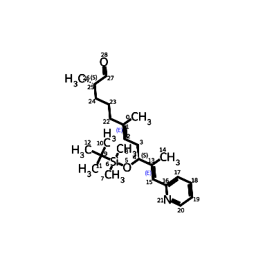 C/C(=C\C[C@H](O[Si](C)(C)C(C)(C)C)/C(C)=C/c1ccccn1)CCC[C@H](C)C=O